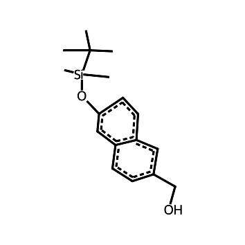 CC(C)(C)[Si](C)(C)Oc1ccc2cc(CO)ccc2c1